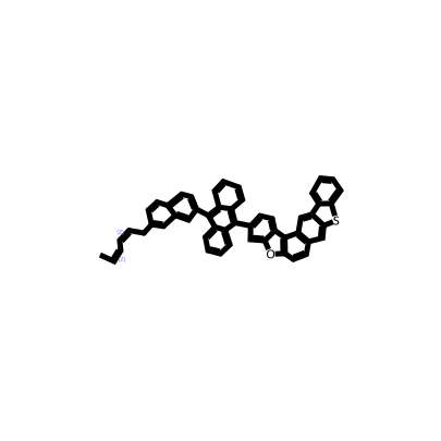 C/C=C\C=C/Cc1ccc2ccc(-c3c4ccccc4c(-c4ccc5c(c4)oc4ccc6cc7sc8ccccc8c7cc6c45)c4ccccc34)cc2c1